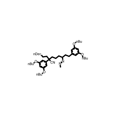 CCCCCCCCCCCCC(C#N)(CCCC(CCc1cc(OCCCC)cc(OCCCC)c1)N=NC)c1cc(OCCCC)cc(OCCCC)c1